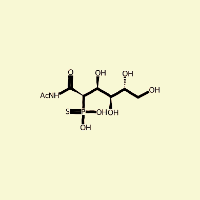 CC(=O)NC(=O)[C@@H]([C@@H](O)[C@H](O)[C@H](O)CO)P(O)(O)=S